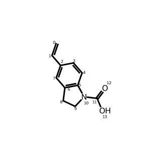 C=Cc1ccc2c(c1)CCN2C(=O)O